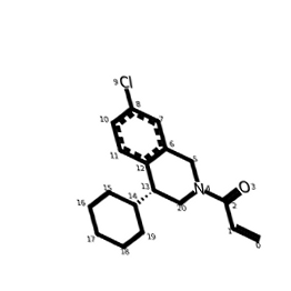 C=CC(=O)N1Cc2cc(Cl)ccc2[C@@H](C2CCCCC2)C1